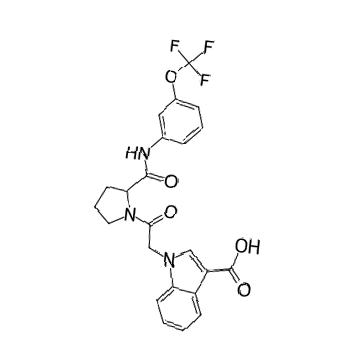 O=C(O)c1cn(CC(=O)N2CCCC2C(=O)Nc2cccc(OC(F)(F)F)c2)c2ccccc12